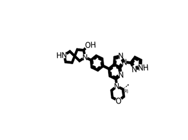 C[C@@H]1COCCN1c1cc(-c2ccc(N3CC4(CCNC4)CC3O)cc2)c2cnn(-c3cc[nH]n3)c2n1